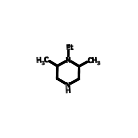 CCN1C(C)CNCC1C